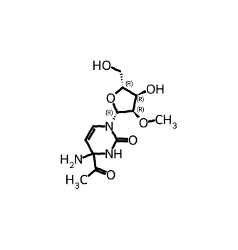 CO[C@@H]1[C@H](O)[C@@H](CO)O[C@H]1N1C=CC(N)(C(C)=O)NC1=O